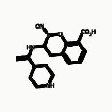 C=C(NC1Cc2cccc(C(=O)O)c2OB1N=O)C1CCNCC1